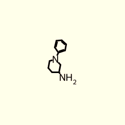 NC1CCCN(c2ccccc2)C1